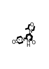 CC1COCCN1c1cc(N2CC[S+]([O-])CC2)[nH]c(=O)c1